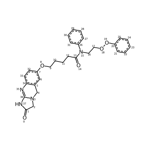 O=C1CN2Cc3cc(OCCCCC(=O)N(CCOOc4ccccc4)c4ccccc4)ccc3N=C2N1